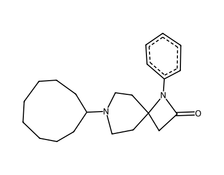 O=C1CC2(CCN(C3CCCCCCCC3)CC2)N1c1ccccc1